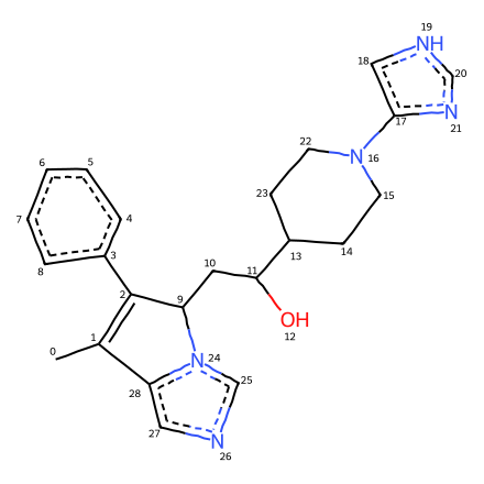 CC1=C(c2ccccc2)C(CC(O)C2CCN(c3c[nH]cn3)CC2)n2cncc21